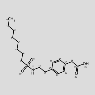 CCCCCCCCS(=O)(=O)NCCc1ccc(CC(=O)O)cc1